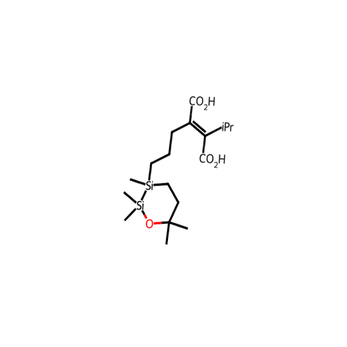 CC(C)C(C(=O)O)=C(CCC[Si]1(C)CCC(C)(C)O[Si]1(C)C)C(=O)O